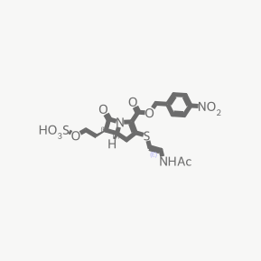 CC(=O)N/C=C/SC1=C(C(=O)OCc2ccc([N+](=O)[O-])cc2)N2C(=O)[C@H](CCOS(=O)(=O)O)[C@H]2C1